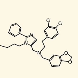 CCCCn1c(CN(CCc2ccc(Cl)c(Cl)c2)Cc2ccc3c(c2)OCO3)cnc1-c1ccccc1